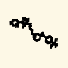 Cn1c(SCCCN2CCC[C@@]3(C[C@@H]3c3ccc(C(F)(F)F)cc3)C2)nnc1-c1ccncn1